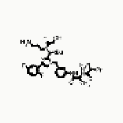 CC(C)[C@H](N)C(=O)N[C@@H](C)C(=O)Nc1cccc(Cn2cc(-c3cc(F)ccc3F)nc2C(N(CCCN)C(=O)CO)C(C)(C)C)c1